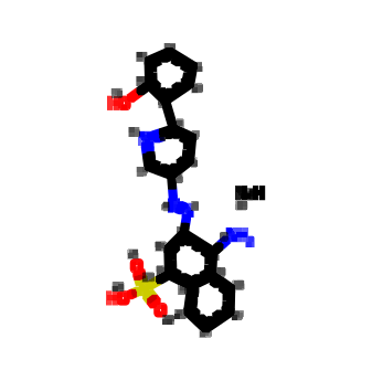 Nc1c(N=Nc2ccc(-c3ccccc3O)nc2)cc(S(=O)(=O)O)c2ccccc12.[NaH]